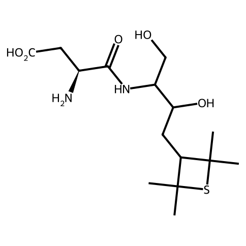 CC1(C)SC(C)(C)C1CC(O)C(CO)NC(=O)[C@@H](N)CC(=O)O